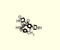 Cc1ccc(S(=O)(=O)O)cc1.O=C1CCC(N2C(=O)c3cc(F)c(N4CCNCC4)cc3C2=O)C(=O)N1